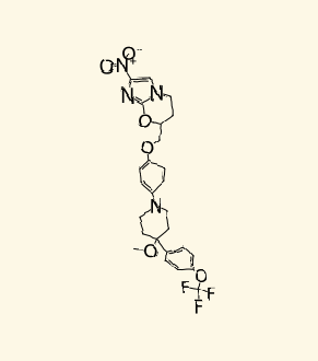 COC1(c2ccc(OC(F)(F)F)cc2)CCN(c2ccc(OCC3CCn4cc([N+](=O)[O-])nc4O3)cc2)CC1